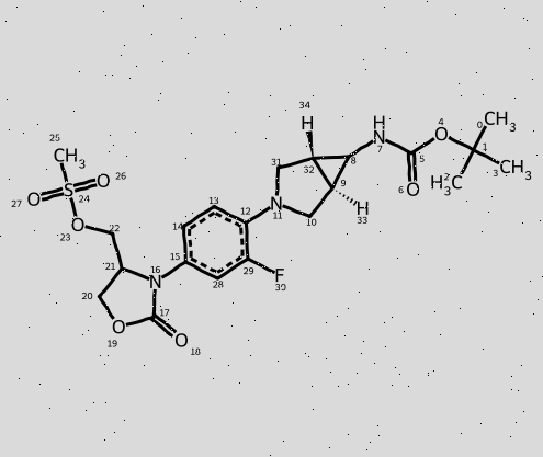 CC(C)(C)OC(=O)NC1[C@H]2CN(c3ccc(N4C(=O)OCC4COS(C)(=O)=O)cc3F)C[C@H]12